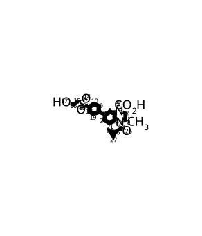 C[C@H]1CN(C(=O)O)c2cc(-c3ccc(S(=O)(=O)CCO)cc3)ccc2N1C(=O)C1CC1